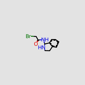 O=C(CBr)NC1NCCc2ccccc21